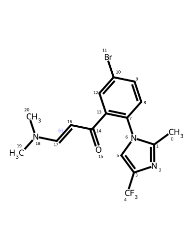 Cc1nc(C(F)(F)F)cn1-c1ccc(Br)cc1C(=O)/C=C/N(C)C